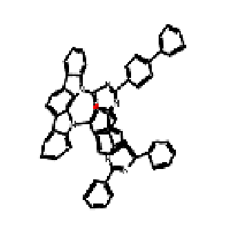 c1ccc(-c2ccc(-c3nc(-c4ccccc4)nc(-n4c5ccccc5c5ccc6c7ccccc7n(-c7cccc(-c8cc(-c9ccccc9)nc(-c9ccccc9)n8)c7)c6c54)n3)cc2)cc1